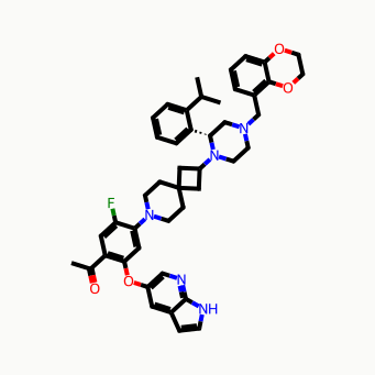 CC(=O)c1cc(F)c(N2CCC3(CC2)CC(N2CCN(Cc4cccc5c4OCCO5)C[C@H]2c2ccccc2C(C)C)C3)cc1Oc1cnc2[nH]ccc2c1